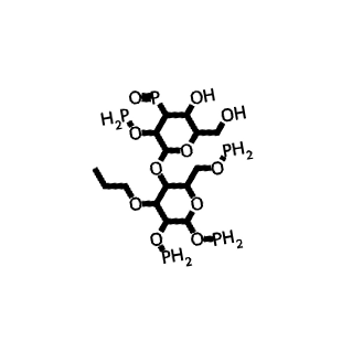 CCCOC1C(OC2OC(CO)C(O)C(P=O)C2OP)C(COP)OC(OP)C1OP